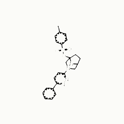 Cc1ccc(S(=O)(=O)OC23CCC(CN(c4ccc(-c5ccccc5)nn4)C2)N3C)cc1